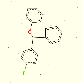 Fc1ccc(C(Oc2c[c]ccc2)c2ccccc2)cc1